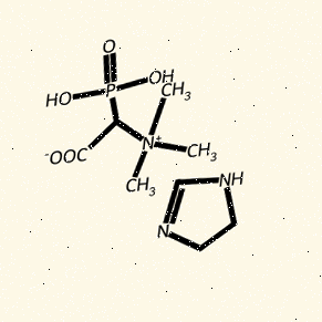 C1=NCCN1.C[N+](C)(C)C(C(=O)[O-])P(=O)(O)O